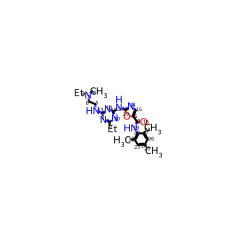 CCc1nc(NCCN(C)CC)nc(Nc2ncc(C(=O)Nc3c(C)cc(C)cc3C)o2)n1